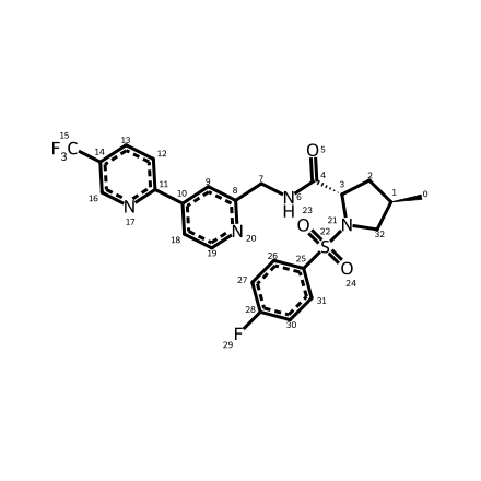 C[C@@H]1C[C@@H](C(=O)NCc2cc(-c3ccc(C(F)(F)F)cn3)ccn2)N(S(=O)(=O)c2ccc(F)cc2)C1